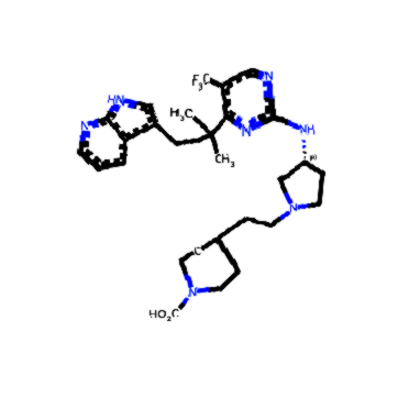 CC(C)(Cc1c[nH]c2ncccc12)c1nc(N[C@@H]2CCN(CCC3CCN(C(=O)O)CC3)C2)ncc1C(F)(F)F